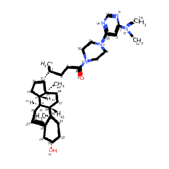 CC(CCC(=O)N1CCN(c2cc(N(C)C)ncn2)CC1)[C@H]1CC[C@H]2[C@@H]3CC=C4C[C@@H](O)CC[C@]4(C)[C@H]3CC[C@]12C